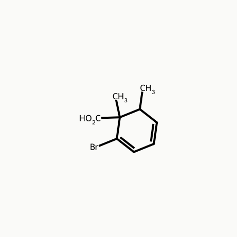 CC1C=CC=C(Br)C1(C)C(=O)O